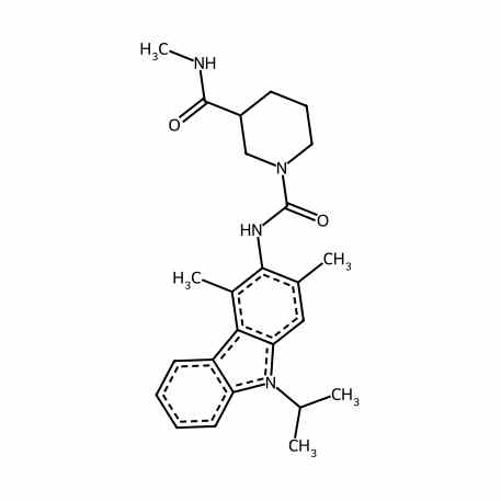 CNC(=O)C1CCCN(C(=O)Nc2c(C)cc3c(c2C)c2ccccc2n3C(C)C)C1